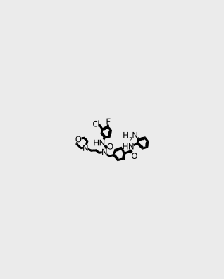 Nc1ccccc1NC(=O)c1ccc(CN(CCCN2CCOCC2)C(=O)Nc2ccc(F)c(Cl)c2)cc1